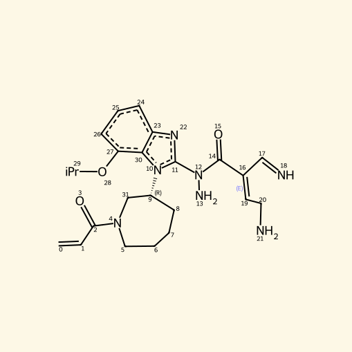 C=CC(=O)N1CCCC[C@@H](n2c(N(N)C(=O)/C(C=N)=C/CN)nc3cccc(OC(C)C)c32)C1